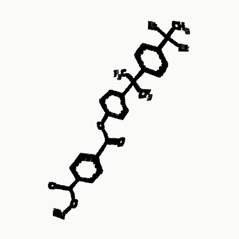 CCC(C)OC(=O)c1ccc(C(=O)Oc2ccc(C(c3ccc(C(C)(CC)CC)cc3)(C(F)(F)F)C(F)(F)F)cc2)cc1